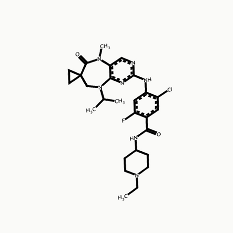 CCN1CCC(NC(=O)c2cc(Cl)c(Nc3ncc4c(n3)N(C(C)C)CC3(CC3)C(=O)N4C)cc2F)CC1